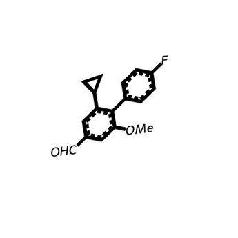 COc1cc(C=O)cc(C2CC2)c1-c1ccc(F)cc1